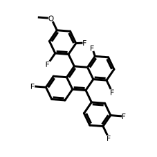 COc1cc(F)c(-c2c3cc(F)ccc3c(-c3ccc(F)c(F)c3)c3c(F)ccc(F)c23)c(F)c1